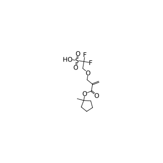 C=C(COCC(F)(F)S(=O)(=O)O)C(=O)OC1(C)CCCC1